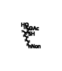 CCCCCCCCCCCCCCC(C)C(S)C(CO)OC(C)=O